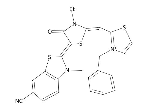 CCn1c(=O)/c(=C2\Sc3cc(C#N)ccc3N2C)s/c1=C\c1scc[n+]1Cc1ccccc1